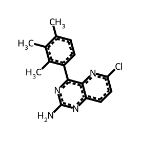 Cc1ccc(-c2nc(N)nc3ccc(Cl)nc23)c(C)c1C